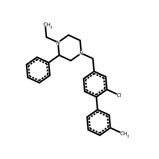 CCN1CCN(Cc2ccc(-c3cccc(C)c3)c(Cl)c2)CC1c1ccccc1